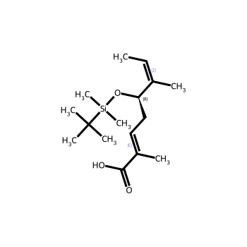 C/C=C(/C)[C@@H](C/C=C(\C)C(=O)O)O[Si](C)(C)C(C)(C)C